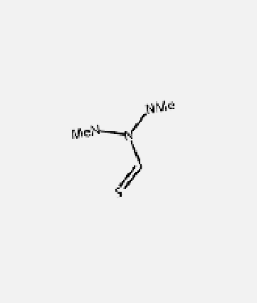 CNN(C=S)NC